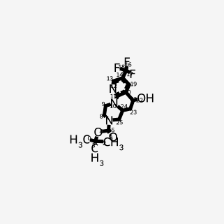 CC(C)(C)OC(=O)N1CCN2c3ncc(C(F)(F)F)cc3C(O)CC2C1